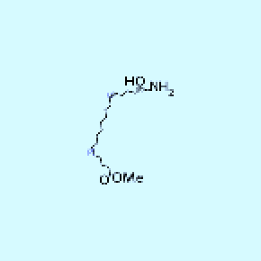 COC(=O)CCC/C=C\CCCCCCC/C=C\CCC[C@@H](O)CN